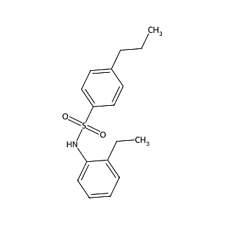 CCCc1ccc(S(=O)(=O)Nc2ccccc2CC)cc1